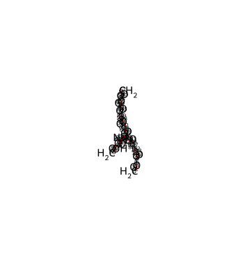 C=CC(=O)OCCCCOC(=O)C1CCC(C2CCC(C(=O)Oc3ccc(OC(=O)C4CCC(C(=O)Oc5ccc(CCOC(=O)CCC(=O)OCCOC(=O)C=C)cc5)CC4)c4c3N/C(=C(/C#N)C(=O)OCCOC(=O)C=C)S4)CC2)CC1